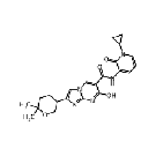 CC1(C)CCC(c2cn3cc(C(=O)Nc4cccn(C5CC5)c4=O)c(O)nc3n2)CO1